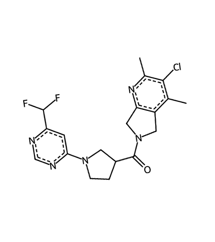 Cc1nc2c(c(C)c1Cl)CN(C(=O)C1CCN(c3cc(C(F)F)ncn3)C1)C2